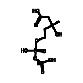 C[C@@](O)(CCOP(=O)(O)O[PH](=O)O)CC(=O)O